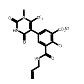 C=CCNC(=O)c1cc(-c2c(C(F)(F)F)n(C)c(=O)[nH]c2=O)cc(C(=O)OCC)c1Cl